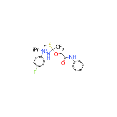 CC(C)[N+]1(c2ccc(F)cc2)CSC(OCC(=O)Nc2ccccc2)(C(F)(F)F)N1